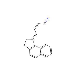 N=C/C=C\C=C1/CCc2ccc3ccccc3c21